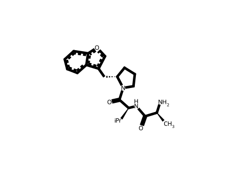 CC(C)[C@H](NC(=O)[C@H](C)N)C(=O)N1CCC[C@H]1Cc1coc2ccccc12